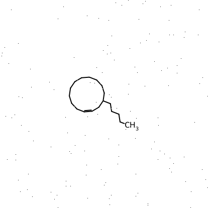 CCCCCC1CC=CCCCCCCCCCC1